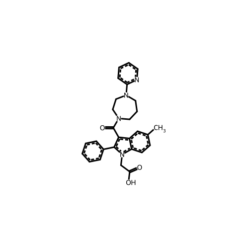 Cc1ccc2c(c1)c(C(=O)N1CCCN(c3ccccn3)CC1)c(-c1ccccc1)n2CC(=O)O